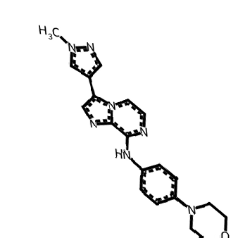 Cn1cc(-c2cnc3c(Nc4ccc(N5CCOCC5)cc4)nccn23)cn1